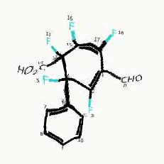 O=CC1=C(F)C(F)(c2ccccc2)C(F)(C(=O)O)C(F)=C1F